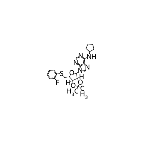 CC1(C)O[C@@H]2[C@@H](O1)[C@@H](CSc1ccccc1F)O[C@H]2n1cnc2c(NC3CCCC3)ncnc21